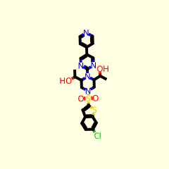 CC(O)C1CN(S(=O)(=O)c2cc3ccc(Cl)cc3s2)CC(C(C)O)N1c1ncc(-c2ccncc2)cn1